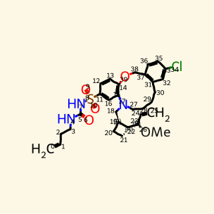 C=CCCNC(=O)NS(=O)(=O)c1ccc2c(c1)N(C[C@@H]1CC[C@H]1[C@@H](C=C)OC)CCCCc1cc(Cl)ccc1CO2